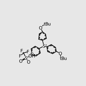 CC(C)(C)Oc1ccc([S+](c2ccncc2)c2ccc(OC(C)(C)C)cc2)cc1.O=S(=O)(O)C(F)(F)F